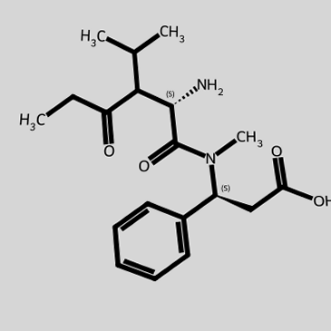 CCC(=O)C(C(C)C)[C@H](N)C(=O)N(C)[C@@H](CC(=O)O)c1ccccc1